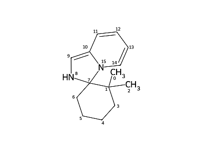 CC1(C)CCCCC12NC=C1C=CC=CN12